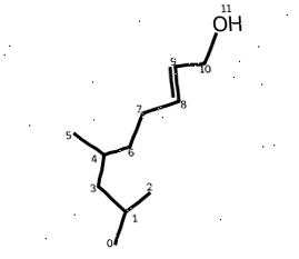 CC(C)CC(C)CCC=CCO